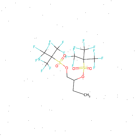 CCC(COS(=O)(=O)C(C(F)(F)F)(C(F)(F)F)C(F)(F)F)OS(=O)(=O)C(C(F)(F)F)(C(F)(F)F)C(F)(F)F